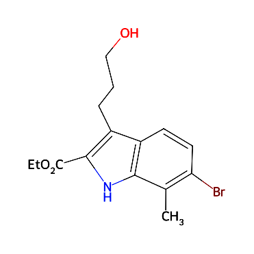 CCOC(=O)c1[nH]c2c(C)c(Br)ccc2c1CCCO